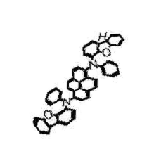 c1ccc2c(c#1)oc1c(N(c3ccccc3)c3ccc4ccc5c(N(C6=CC=CC7C6OC6C=CC=C[C@H]67)c6ccccc6)ccc6ccc3c4c65)cccc12